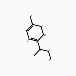 CCC(C)C1=NC=C(C)CC1